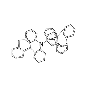 C1=c2ccccc2=C(c2ccccc2N(c2ccccc2)c2ccc3c(c2)-c2c4cccc2-c2cccc-3c2-c2ccccc2-4)CC1